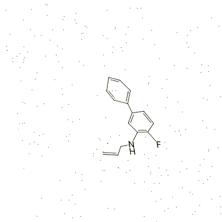 C=CCNc1cc(-c2ccccc2)ccc1F